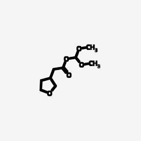 COC(OC)OC(=O)CC1CCOC1